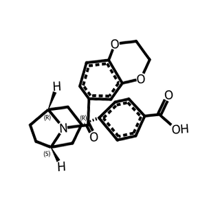 O=C(O)c1ccc([C@H]2C[C@H]3CC[C@@H](C2)N3C(=O)c2ccc3c(c2)OCCO3)cc1